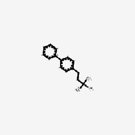 CC(C)(N)CCc1ccc(-c2ccccc2)cc1